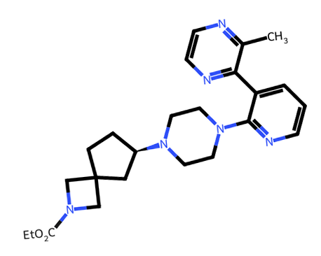 CCOC(=O)N1CC2(CC[C@@H](N3CCN(c4ncccc4-c4nccnc4C)CC3)C2)C1